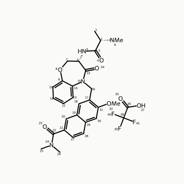 CN[C@@H](C)C(=O)N[C@H]1COc2ccccc2N(Cc2cc3cc(C(=O)N(C)C)ccc3cc2OC)C1=O.O=C(O)C(F)(F)F